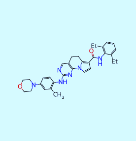 CCc1cccc(CC)c1NC(=O)c1ccn2c1CCc1cnc(Nc3ccc(N4CCOCC4)cc3C)nc1-2